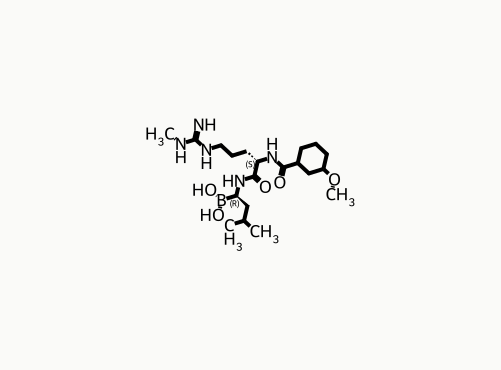 CNC(=N)NCCC[C@H](NC(=O)C1CCCC(OC)C1)C(=O)N[C@@H](CC(C)C)B(O)O